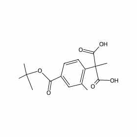 Cc1cc(C(=O)OC(C)(C)C)ccc1C(C)(C(=O)O)C(=O)O